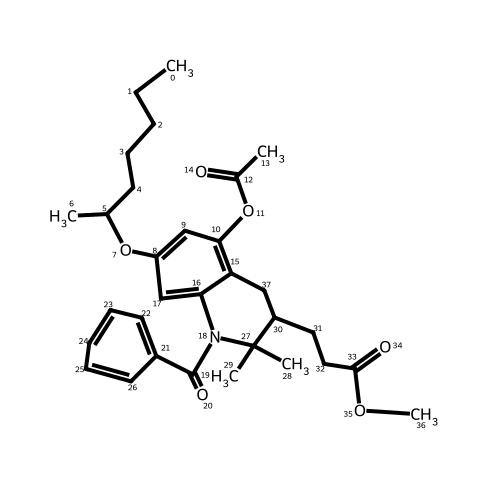 CCCCCC(C)Oc1cc(OC(C)=O)c2c(c1)N(C(=O)c1ccccc1)C(C)(C)C(CCC(=O)OC)C2